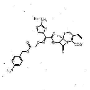 C=CC1=C(C(=O)[O-])N2C(=O)C(NC(=O)C(=NOCC(=O)OCc3ccc([N+](=O)[O-])cc3)c3csc(N)n3)[C@@H]2SC1.[Na+]